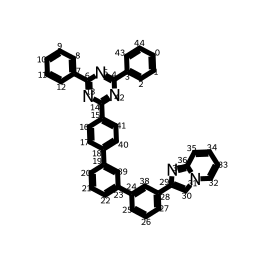 c1ccc(-c2nc(-c3ccccc3)nc(-c3ccc(-c4cccc(-c5cccc(-c6cn7ccccc7n6)c5)c4)cc3)n2)cc1